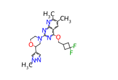 Cc1cc2c(OCC3CC(F)(F)C3)nc(N3CCOC(c4cnn(C)c4)C3)nc2nc1C